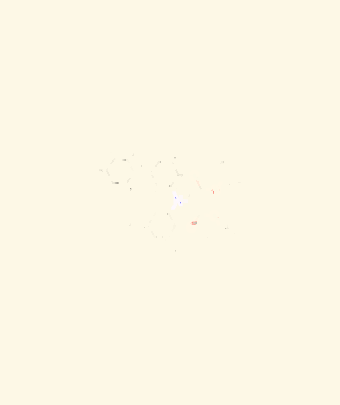 Cc1cc(C)cc(N(c2cccc(-c3ccccc3)c2)C(C(=O)OC(C)C)C(=O)OC(C)C)c1